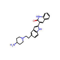 NC1CCN(CCc2ccc3[nH]c(-c4cc5ccccc5[nH]c4=O)cc3c2)CC1